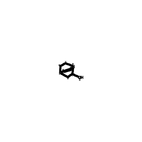 OC1CN2C=CN1CC2